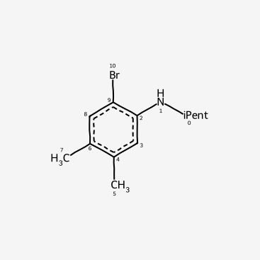 CCCC(C)Nc1cc(C)c(C)cc1Br